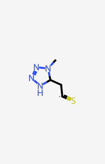 CN1N=NNC1C[C]=S